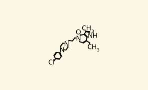 CCC1=CCN(CCCN2CCN(c3ccc(Cl)cc3)CC2)C(=O)c2c(C)c[nH]c21